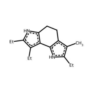 CCc1[nH]c2c(c1C)CCc1[nH]c(CC)c(CC)c1-2